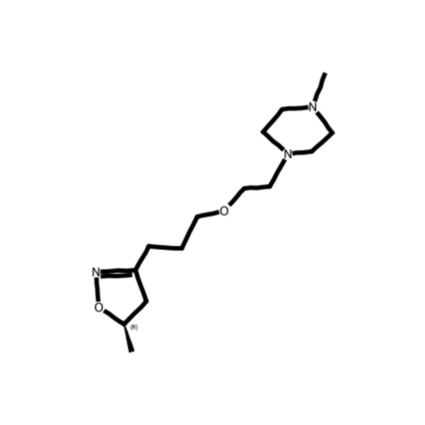 C[C@@H]1CC(CCCOCCN2CCN(C)CC2)=NO1